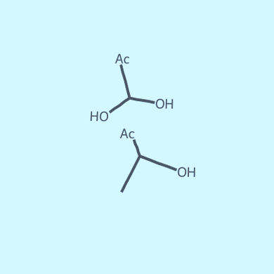 CC(=O)C(C)O.CC(=O)C(O)O